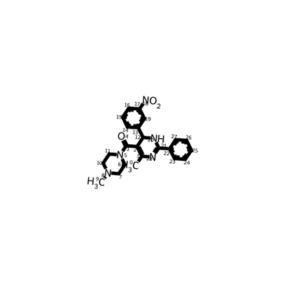 CC1=C(C(=O)N2CCN(C)CC2)C(c2cccc([N+](=O)[O-])c2)NC(c2ccccc2)=N1